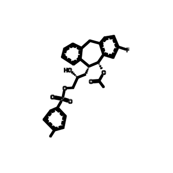 CC(=O)O[C@H]1c2cc(F)ccc2Cc2ccccc2[C@H]1C[C@@H](O)COS(=O)(=O)c1ccc(C)cc1